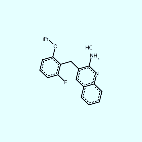 CC(C)Oc1cccc(F)c1Cc1cc2ccccc2nc1N.Cl